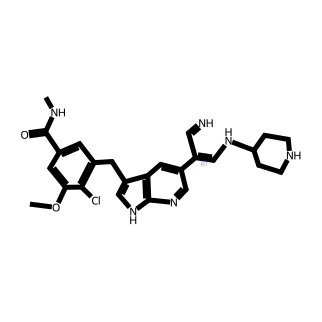 CNC(=O)c1cc(Cc2c[nH]c3ncc(/C(C=N)=C/NC4CCNCC4)cc23)c(Cl)c(OC)c1